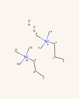 CCC[N+](C)(C)C.CCC[N+](C)(C)C.[I-].[I-]